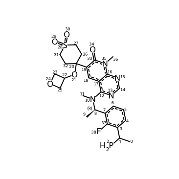 CC(P)c1cccc([C@@H](C)N(C)c2ncnc3c2cc(C2(OC4COC4)CCS(=O)(=O)CC2)c(=O)n3C)c1F